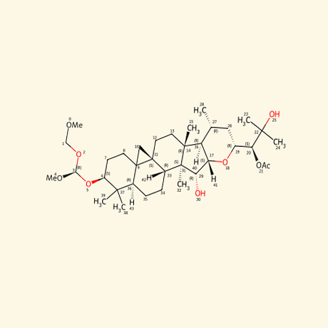 COCO[C@H](OC)O[C@H]1CCC23C[C@]24CC[C@]2(C)[C@@H]5[C@H](O[C@@H]([C@H](OC(C)=O)C(C)(C)O)C[C@H]5C)[C@H](O)[C@@]2(C)[C@@H]4CC[C@H]3C1(C)C